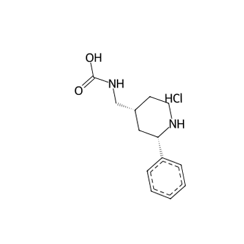 Cl.O=C(O)NC[C@@H]1CCN[C@H](c2ccccc2)C1